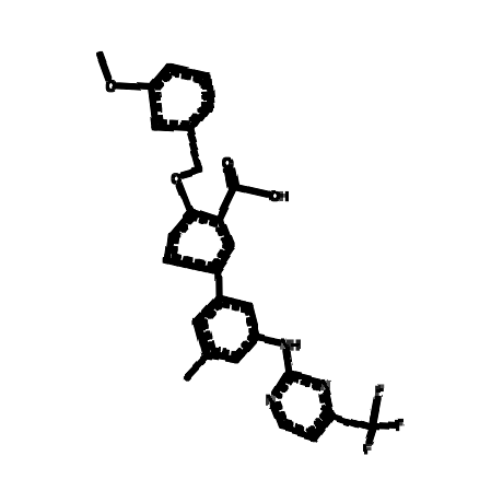 COc1cccc(COc2ccc(-c3cc(C)cc(Nc4nccc(C(F)(F)F)n4)c3)cc2C(=O)O)c1